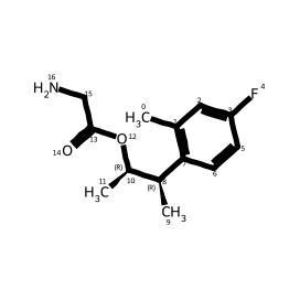 Cc1cc(F)ccc1[C@@H](C)[C@@H](C)OC(=O)CN